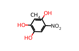 C.O=[N+]([O-])c1cc(O)c(O)cc1O